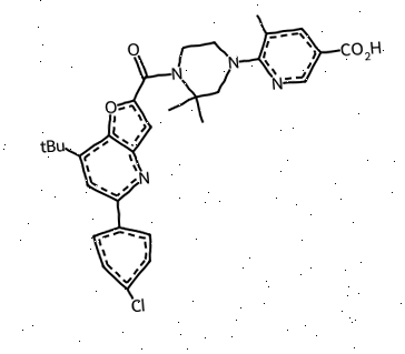 Cc1cc(C(=O)O)cnc1N1CCN(C(=O)c2cc3nc(-c4ccc(Cl)cc4)cc(C(C)(C)C)c3o2)C(C)(C)C1